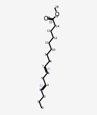 CCC/C=C/C/C=C/CCCCCCCC(=O)OC